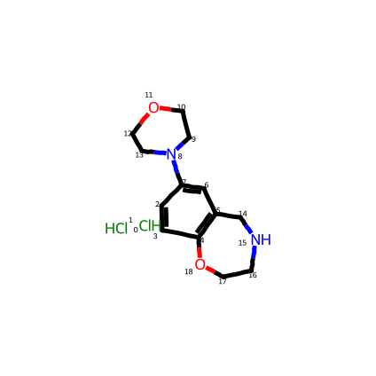 Cl.Cl.c1cc2c(cc1N1CCOCC1)CNCCO2